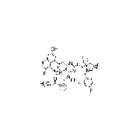 C#Cc1c(F)ccc2cc(O)cc(C3=Cc4nc(OC[C@]5(C)C[C@@H](F)CN5Cc5ccc(F)cc5)nc(N(C)C[C@@H]5CCCN5C(=O)C=C)c4CC3)c12